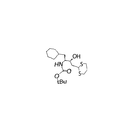 CC(C)(C)OC(=O)N[C@@H](CC1CCCCC1)[C@@H](O)CC1SCCCS1